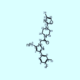 CCCc1cc(-c2ccc(F)c(C)c2)nn1CC(=O)N1CCN(c2nc(C)co2)CC1